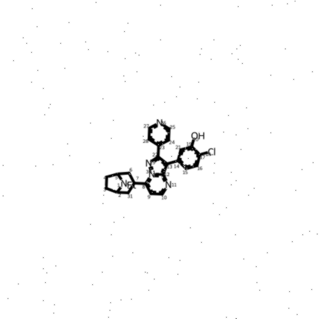 CCN1C2CCC1CC(c1ccnc3c(-c4ccc(Cl)c(O)c4)c(-c4ccncc4)nn13)C2